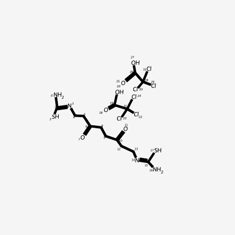 NC(S)=NCCC(=O)CCC(=O)CCN=C(N)S.O=C(O)C(Cl)(Cl)Cl.O=C(O)C(Cl)(Cl)Cl